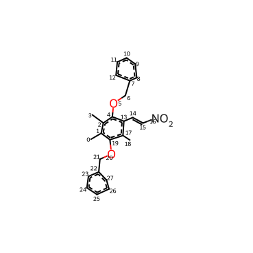 Cc1c(C)c(OCc2ccccc2)c(C=C[N+](=O)[O-])c(C)c1OCc1ccccc1